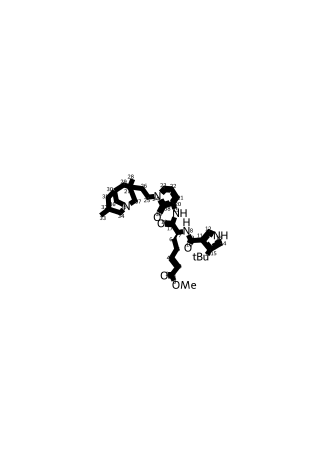 COC(=O)/C=C/CC[C@H](NC(=O)c1c[nH]cc1C(C)(C)C)C(=O)Nc1cccn(CCC2(C)CC3CC(C)CN(C3)C2)c1=O